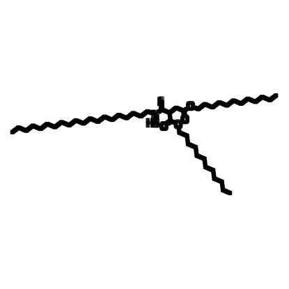 CCCCCCCCCCCCCCCCCCCCN(S)C(=S)C(CC(=O)OCCCCCCCCCCCC)C(=O)OCCCCCCCCCCCC